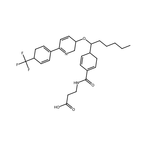 CCCCCC(OC1C=CC(C2=CCC(C(F)(F)F)C=C2)=NC1)C1C=CC(C(=O)NCCC(=O)O)=CC1